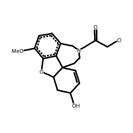 COc1ccc2c3c1OC1CC(O)C=CC31CCN(C(=O)CCl)C2